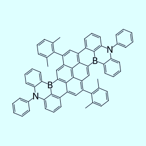 Cc1cccc(C)c1-c1cc2c3c(cc4c(-c5c(C)cccc5C)cc5c6c(cc1c3c46)B1c3ccccc3N(c3ccccc3)c3cccc-5c31)B1c3ccccc3N(c3ccccc3)c3cccc-2c31